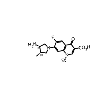 CCn1cc(C(=O)O)c(=O)c2cc(F)c(N3C[C@@H](C)[C@@H](N)C3)cc21